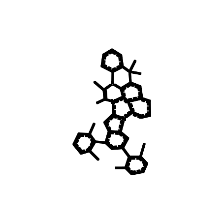 CC1=C(C)n2c3c4c(cc5cccc(c53)n3c5cc(-c6c(C)cccc6C)cc(-c6c(C)cccc6C)c5cc23)C(C)(C)c2ccccc2B14